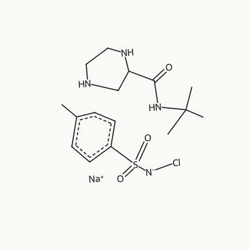 CC(C)(C)NC(=O)C1CNCCN1.Cc1ccc(S(=O)(=O)[N-]Cl)cc1.[Na+]